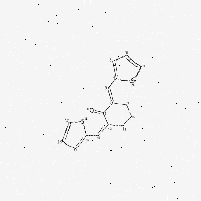 O=C1C(=Cc2cccs2)CCCC1=Cc1cccs1